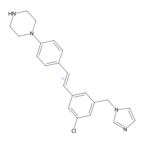 Clc1cc(/C=C/c2ccc(N3CCNCC3)cc2)cc(Cn2ccnc2)c1